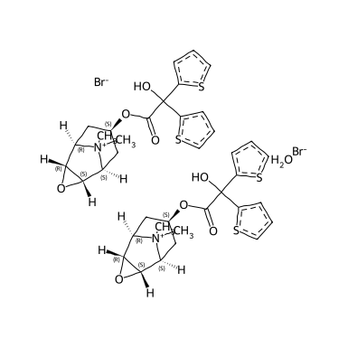 C[N+]1(C)[C@@H]2C[C@@H](OC(=O)C(O)(c3cccs3)c3cccs3)C[C@H]1[C@@H]1O[C@@H]12.C[N+]1(C)[C@@H]2C[C@@H](OC(=O)C(O)(c3cccs3)c3cccs3)C[C@H]1[C@@H]1O[C@@H]12.O.[Br-].[Br-]